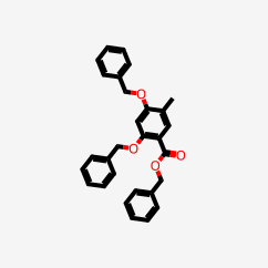 Cc1cc(C(=O)OCc2ccccc2)c(OCc2ccccc2)cc1OCc1ccccc1